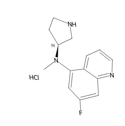 CN(c1cc(F)cc2ncccc12)[C@H]1CCNC1.Cl